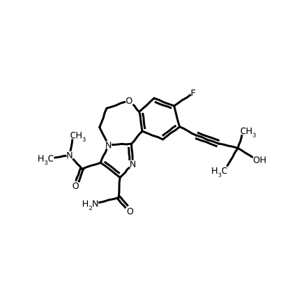 CN(C)C(=O)c1c(C(N)=O)nc2n1CCOc1cc(F)c(C#CC(C)(C)O)cc1-2